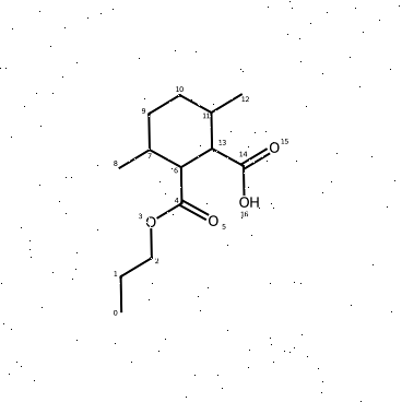 CCCOC(=O)C1C(C)CCC(C)C1C(=O)O